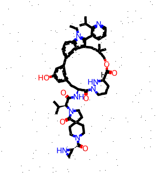 CCn1c(-c2cccnc2C(C)C)c2c3cc(ccc31)-c1cc(O)cc(c1)C[C@H](NC(=O)[C@H](C(C)C)N1CCC3(CCN(C(=O)[C@@H]4CN4)CC3)C1=O)C(=O)N1CCC[C@H](N1)C(=O)OCC(C)(C)C2